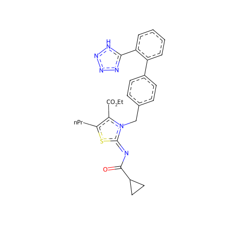 CCCc1sc(=NC(=O)C2CC2)n(Cc2ccc(-c3ccccc3-c3nnn[nH]3)cc2)c1C(=O)OCC